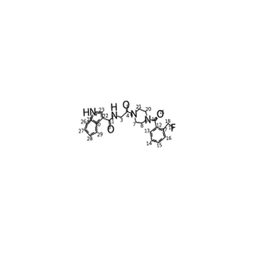 O=C(NCC(=O)N1CCN(C(=O)c2ccccc2CF)CC1)c1c[nH]c2ccccc12